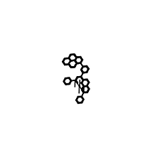 c1ccc(-c2ccc3ccc4c(-c5cccc(-c6ccc7ccc8cccc9ccc6c7c89)c5)cc(-c5ccccc5)nc4c3n2)cc1